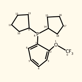 FC(F)(F)Oc1ccccc1P(C1CCCC1)C1CCCC1